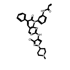 C=CC(=O)Nc1cccc(-n2c(=O)c(-c3ccccc3)cc3cnc(Nc4cn(C5CCN(C)CC5)nc4Cl)nc32)c1